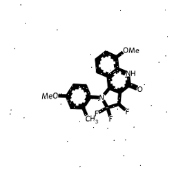 COc1ccc(N2c3c(c(=O)[nH]c4c(OC)cccc34)C(F)C2(F)F)c(C)c1